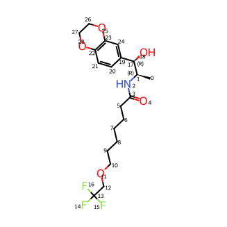 C[C@@H](NC(=O)CCCCCCOCC(F)(F)F)[C@H](O)c1ccc2c(c1)OCCO2